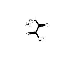 CC(=O)C(=O)O.[Ag]